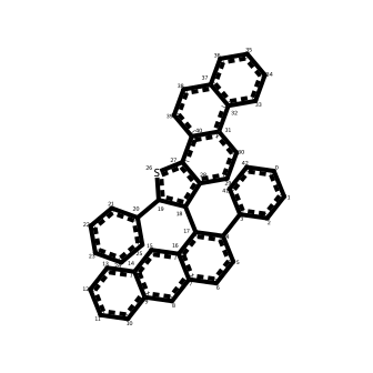 c1ccc(-c2ccc3cc4ccccc4cc3c2-c2c(-c3ccccc3)sc3c2ccc2c4ccccc4ccc23)cc1